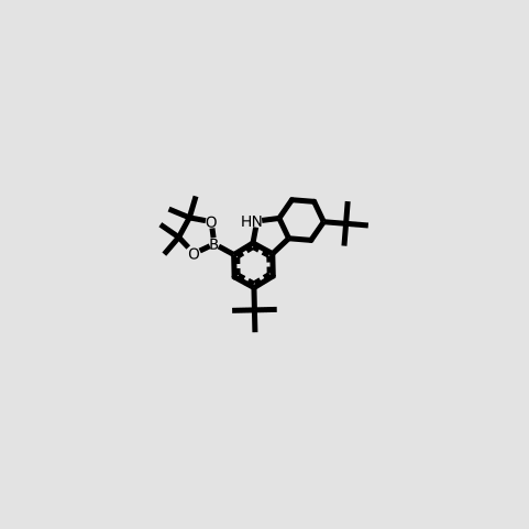 CC(C)(C)c1cc(B2OC(C)(C)C(C)(C)O2)c2c(c1)C1CC(C(C)(C)C)CCC1N2